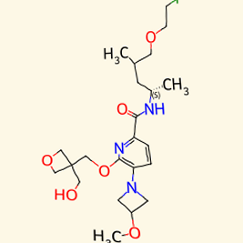 COC1CN(c2ccc(C(=O)N[C@@H](C)CC(C)COCCF)nc2OCC2(CO)COC2)C1